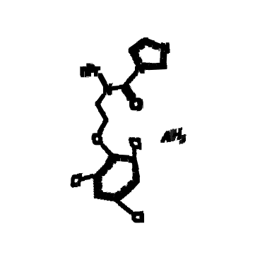 CCCN(CCOc1c(Cl)cc(Cl)cc1Cl)C(=O)n1ccnc1.[AlH3]